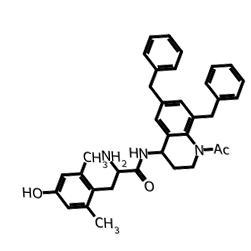 CC(=O)N1CCC(NC(=O)C(N)Cc2c(C)cc(O)cc2C)c2cc(Cc3ccccc3)cc(Cc3ccccc3)c21